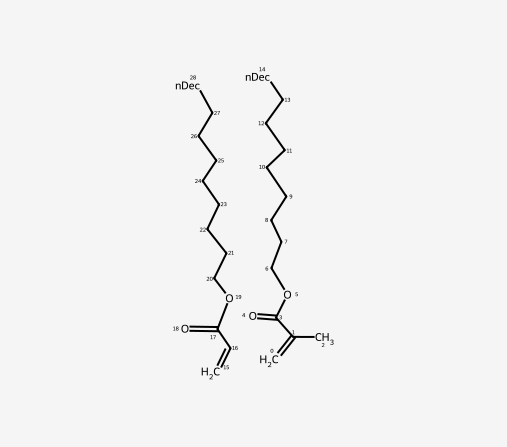 C=C(C)C(=O)OCCCCCCCCCCCCCCCCCC.C=CC(=O)OCCCCCCCCCCCCCCCCCC